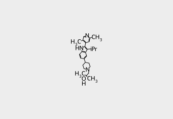 Cc1cc(-c2[nH]c3ccc(C4CCN(CC(C)(C)O)CC4)cc3c2C(C)C)c(C)cn1